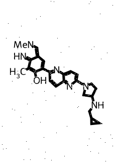 CN/C=C1/C=C(c2ccc3nc(N4CCC(NCC5CC5)C4)ccc3n2)C(O)=C(C)C1=N